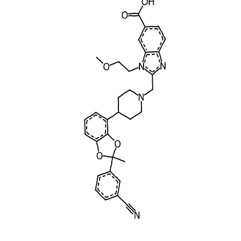 COCCn1c(CN2CCC(c3cccc4c3OC(C)(c3cccc(C#N)c3)O4)CC2)nc2ccc(C(=O)O)cc21